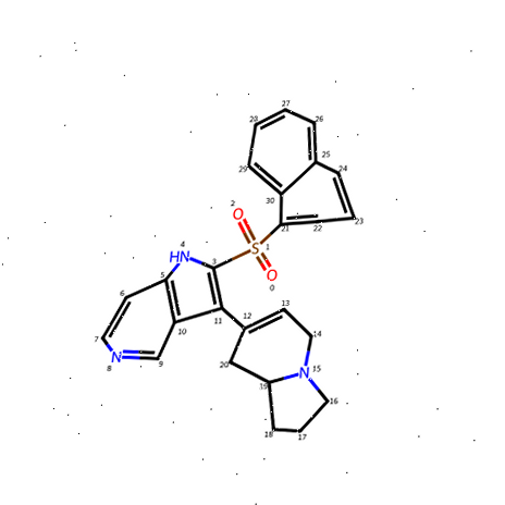 O=S(=O)(c1[nH]c2ccncc2c1C1=CCN2CCCC2C1)c1cccc2ccccc12